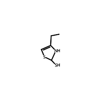 CCC1=CSC(S)N1